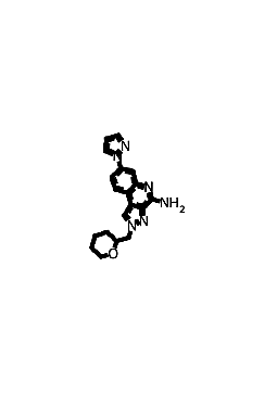 Nc1nc2cc(-n3cccn3)ccc2c2cn(CC3CCCCO3)nc12